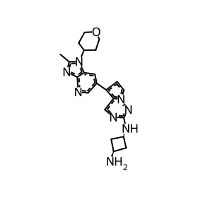 Cc1nc2ncc(-c3ccn4nc(N[C@H]5C[C@H](N)C5)ncc34)cc2n1C1CCOCC1